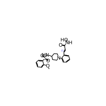 COc1ccccc1S(=O)(=O)NC1CCN(c2ccccc2/C=C/C(=O)NO)CC1